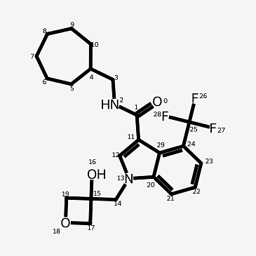 O=C(NCC1CCCCCC1)c1cn(CC2(O)COC2)c2cccc(C(F)(F)F)c12